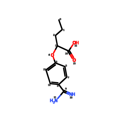 CCCC(Oc1ccc(C(=N)N)cc1)C(=O)O